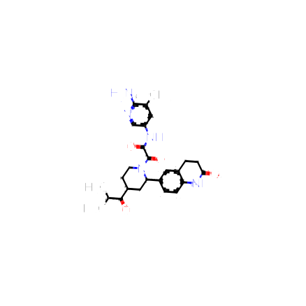 Cc1cc(NC(=O)C(=O)N2CCC(C(=O)C(C)C)CC2c2ccc3c(c2)CCC(=O)N3)cnc1N